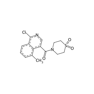 Cc1cccc2c(Cl)ncc(C(=O)N3CCS(=O)(=O)CC3)c12